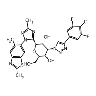 Cc1nc([C@@H]2O[C@H](CO)[C@H](O)[C@H](n3cc(-c4cc(F)c(Cl)c(F)c4)nn3)[C@H]2O)n(-c2cc3sc(C)nc3cc2C(F)(F)F)n1